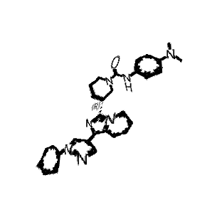 CN(C)c1ccc(NC(=O)N2CCC[C@@H](c3nc(-c4cnn(-c5ccccc5)c4)c4ccccn34)C2)cc1